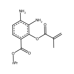 C=C(C)C(=O)Oc1c(C(=O)OCCC)ccc(N)c1N